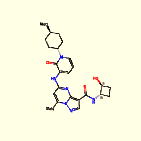 CNc1cc(Nc2cccn([C@H]3CC[C@H](OC)CC3)c2=O)nc2c(C(=O)N[C@H]3CC[C@@H]3O)cnn12